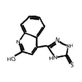 Oc1cc(-c2n[nH]c(=S)[nH]2)c2ccccc2n1